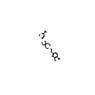 Cc1c([C@@H](O)CN2CCC3(CC2)CCN(c2cc(C(F)(F)F)ncn2)C3)ccc2c1COC2=O